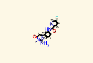 CN1C(=O)C[C@@](C)(c2cccc(NC(=O)c3ccc(F)cn3)c2)N=C1N